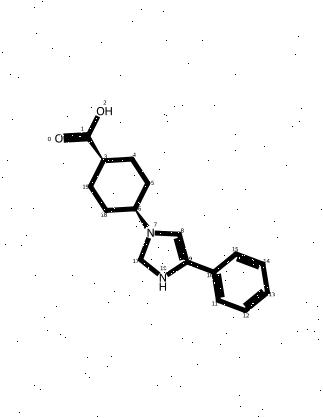 O=C(O)[C@H]1CC[C@@H](N2C=C(c3ccccc3)NC2)CC1